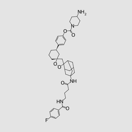 NC1CCN(C(=O)Oc2ccc([C@@H]3CCC[C@@]4(C3)CC3(OO4)C4CC5CC3CC(NC(=O)CCCNC(=O)c3ccc(F)cc3)(C5)C4)cc2)CC1